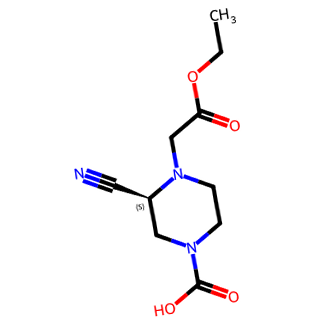 CCOC(=O)CN1CCN(C(=O)O)C[C@H]1C#N